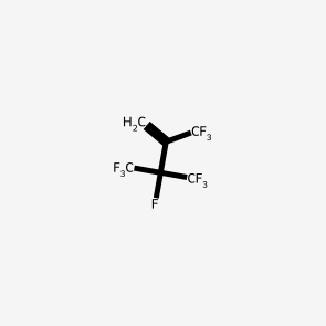 C=C(C(F)(F)F)C(F)(C(F)(F)F)C(F)(F)F